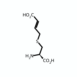 N[C@@H](CSCC=CC(=O)O)C(=O)O